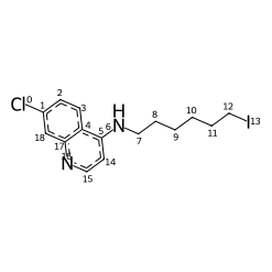 Clc1ccc2c(NCCCCCCI)ccnc2c1